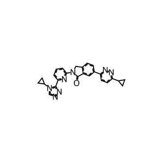 O=C1c2cc(-c3ccc(C4CC4)nn3)ccc2CN1c1cccc(-c2nncn2C2CC2)n1